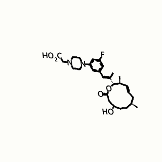 C/C(=C\c1cc(F)cc(N2CCN(CC(=O)O)CC2)c1)[C@H]1OC(=O)C[C@H](O)CC[C@H](C)C/C=C/[C@@H]1C